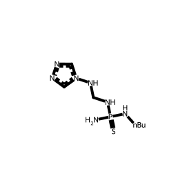 CCCCNP(N)(=S)NCNn1cnnc1